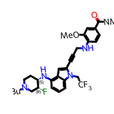 CNC(=O)c1ccc(NCC#Cc2cc3c(N[C@H]4CCN(C(C)(C)C)C[C@H]4F)cccc3n2CC(F)(F)F)c(OC)c1